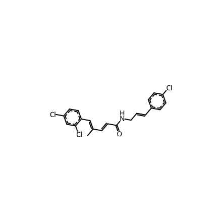 CC(C=CC(=O)NCC=Cc1ccc(Cl)cc1)=Cc1ccc(Cl)cc1Cl